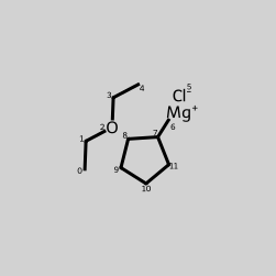 CCOCC.[Cl-].[Mg+][CH]1CCCC1